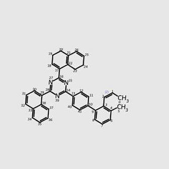 C/C=C\c1c(C)cccc1-c1ccc(-c2nc(C3=CCCC4=C3CCC=C4)nc(-c3cccc4ccccc34)n2)cc1